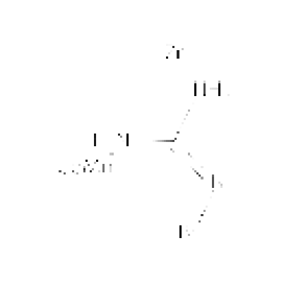 NC(N)=NBr.[Co].[Mn].[Zr]